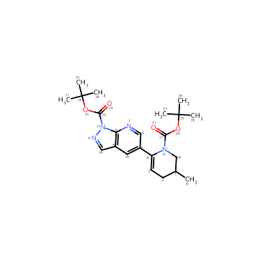 CC1CC=C(c2cnc3c(cnn3C(=O)OC(C)(C)C)c2)N(C(=O)OC(C)(C)C)C1